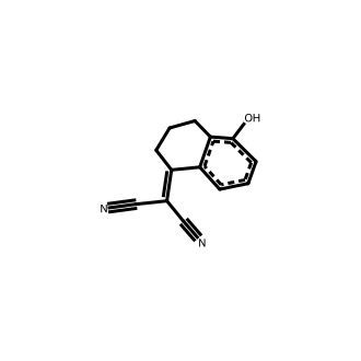 N#CC(C#N)=C1CCCc2c(O)cccc21